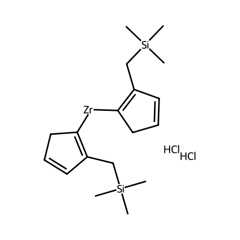 C[Si](C)(C)CC1=[C]([Zr][C]2=C(C[Si](C)(C)C)C=CC2)CC=C1.Cl.Cl